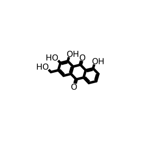 O=C1c2cccc(O)c2C(=O)c2c1cc(CO)c(O)c2O